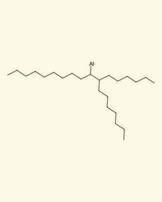 CCCCCCCCC[CH]([Al])C(CCCCCC)CCCCCCC